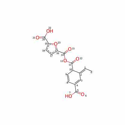 CC=C1C=C(C(=O)O)C=CC1C(=O)OC(=O)c1ccc(C(=O)O)o1